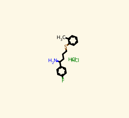 Cc1ccccc1SCCCC(N)c1ccc(F)cc1.Cl.Cl